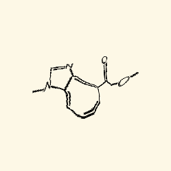 COC(=O)c1cccc2c1ncn2C